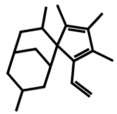 C=CC1=C(C)C(C)=C(C)C12C(C)CC1CC(C)CC2C1